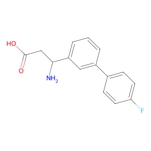 NC(CC(=O)O)c1cccc(-c2ccc(F)cc2)c1